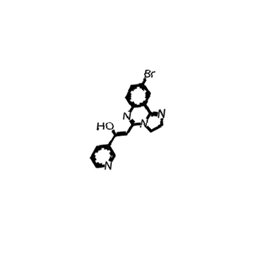 O/C(=C\C1=Nc2ccc(Br)cc2C2=NCCN12)c1cccnc1